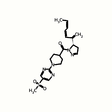 C=C(/C=C\C=C/C)[C@@H]1CC=NN1C(=O)C1CCN(c2ncc(S(C)(=O)=O)cn2)CC1